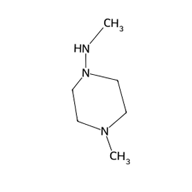 CNN1CCN(C)CC1